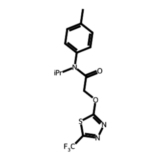 Cc1ccc(N(C(=O)COc2nnc(C(F)(F)F)s2)C(C)C)cc1